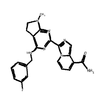 CN1CCc2c(NCc3cccc(F)c3)nc(-c3ncc4c(C(N)=O)cccn34)nc21